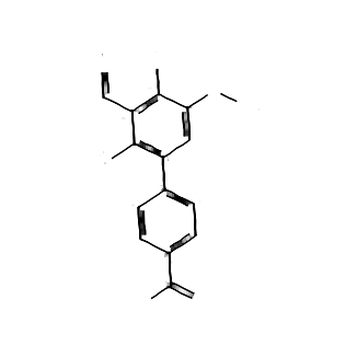 COc1cc(-c2ccc(C(=O)O)cc2)c(Br)c(C=O)c1F